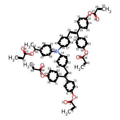 C=CC(=O)Oc1ccc(C(=Cc2ccc(N(c3ccc(C=C(c4ccc(OC(=O)C=C)cc4)c4ccc(OC(=O)C=C)cc4)cc3)c3ccc(C(C)OC(=O)C=C)cc3)cc2)c2ccc(OC(=O)C=C)cc2)cc1